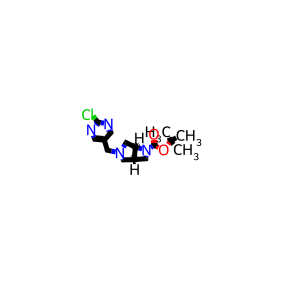 CC(C)(C)OC(=O)N1C[C@@H]2CN(Cc3cnc(Cl)nc3)C[C@@H]21